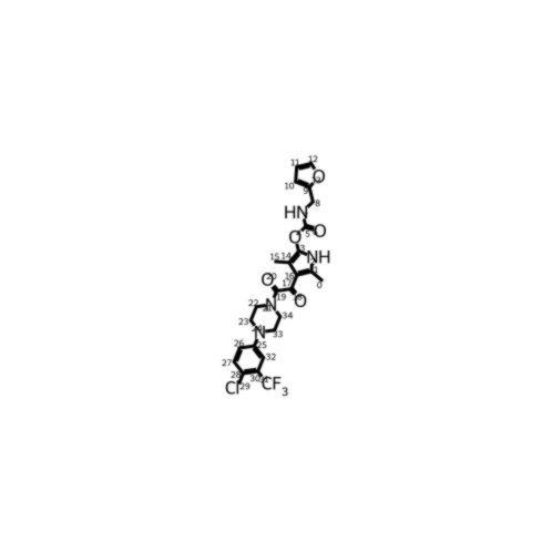 Cc1[nH]c(OC(=O)NCc2ccco2)c(C)c1C(=O)C(=O)N1CCN(c2ccc(Cl)c(C(F)(F)F)c2)CC1